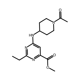 CCc1nc(NC2CCN(C(C)=O)CC2)cc(C(=O)OC)n1